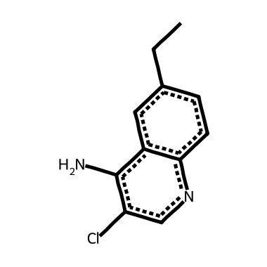 CCc1ccc2ncc(Cl)c(N)c2c1